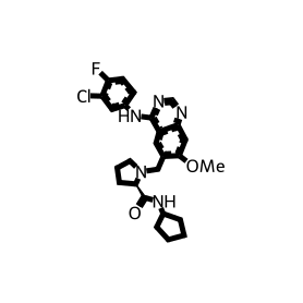 COc1cc2ncnc(Nc3ccc(F)c(Cl)c3)c2cc1CN1CCC[C@@H]1C(=O)NC1CCCC1